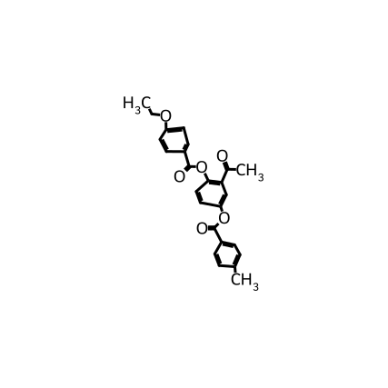 CCOc1ccc(C(=O)Oc2ccc(OC(=O)c3ccc(C)cc3)cc2C(C)=O)cc1